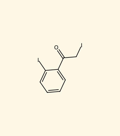 O=C(CI)c1ccccc1I